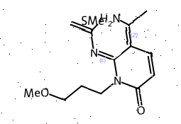 C=C(/N=C1\C(=C(\C)N)C=CC(=O)N1CCCOC)SC